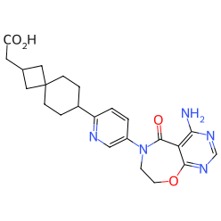 Nc1ncnc2c1C(=O)N(c1ccc(C3CCC4(CC3)CC(CC(=O)O)C4)nc1)CCO2